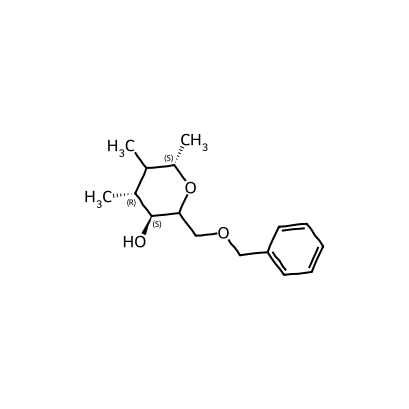 CC1[C@H](C)OC(COCc2ccccc2)[C@@H](O)[C@@H]1C